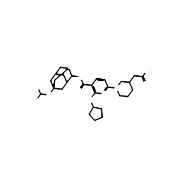 O=C(O)CC1CCCN(c2ccc(C(=O)NC3C4CC5CC3CC(OC(F)F)(C5)C4)c(SC3CCCC3)n2)C1